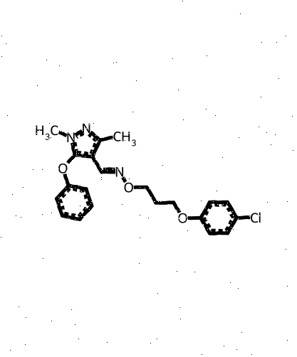 Cc1nn(C)c(Oc2ccccc2)c1C=NOCCCOc1ccc(Cl)cc1